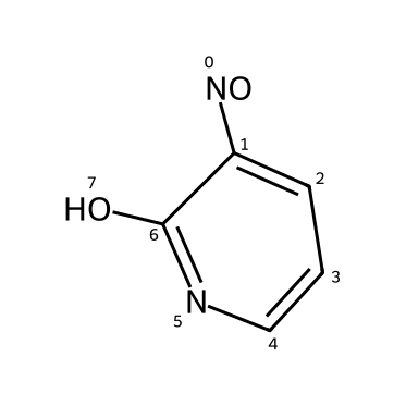 O=Nc1cccnc1O